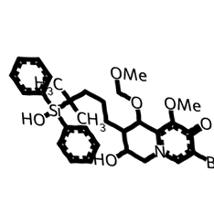 COCOC1c2c(OC)c(=O)c(Br)cn2CC(O)C1CCCC(C)(C)[Si](O)(c1ccccc1)c1ccccc1